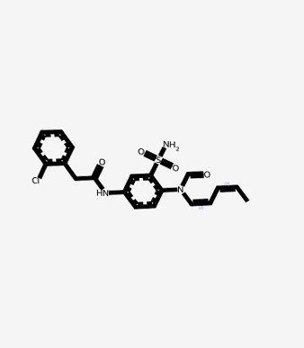 C/C=C\C=C/N(C=O)c1ccc(NC(=O)Cc2ccccc2Cl)cc1S(N)(=O)=O